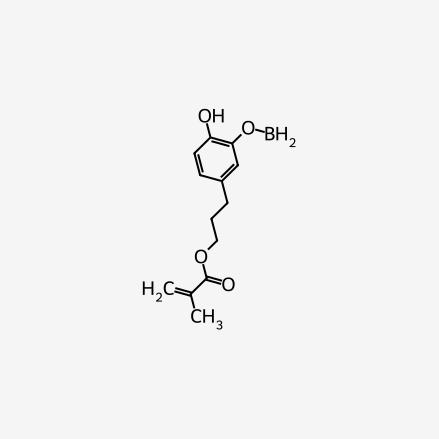 BOc1cc(CCCOC(=O)C(=C)C)ccc1O